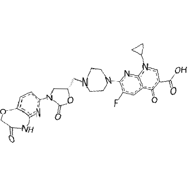 O=C1COc2ccc(N3C[C@H](CN4CCN(c5nc6c(cc5F)c(=O)c(C(=O)O)cn6C5CC5)CC4)OC3=O)nc2N1